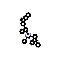 CC1(C)c2ccc(-c3ccc(-c4nc(-c5ccccc5)cc(-c5cccc6c5-c5ccccc5C6(C)c5ccccc5)n4)c4ccccc34)cc2-c2cc3ccccc3cc21